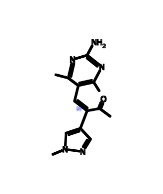 CC(=O)/C(=C\c1c(C)nc(N)nc1C)c1cnn(C)c1